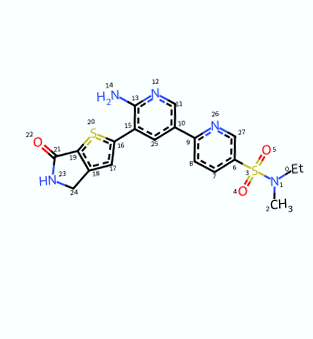 CCN(C)S(=O)(=O)c1ccc(-c2cnc(N)c(-c3cc4c(s3)C(=O)NC4)c2)nc1